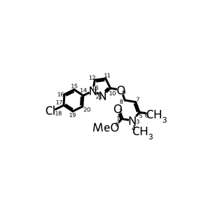 COC(=O)N(C)/C(C)=C\COc1ccn(-c2ccc(Cl)cc2)n1